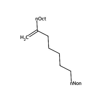 C=C(CCCCCCCC)CCCCCCCCCCCCCC